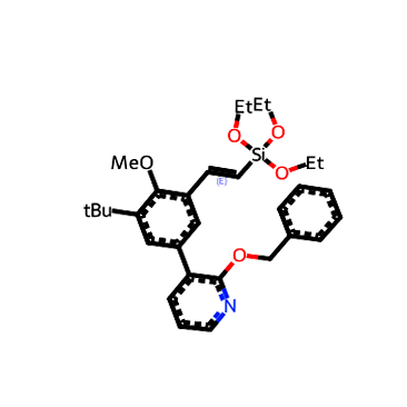 CCO[Si](/C=C/c1cc(-c2cccnc2OCc2ccccc2)cc(C(C)(C)C)c1OC)(OCC)OCC